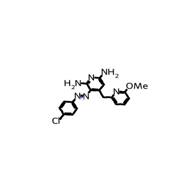 COc1cccc(Cc2cc(N)nc(N)c2/N=N/c2ccc(Cl)cc2)n1